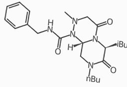 CCCCN1C[C@H]2N(C(=O)CN(C)N2C(=O)NCc2ccccc2)[C@@H](C(C)CC)C1=O